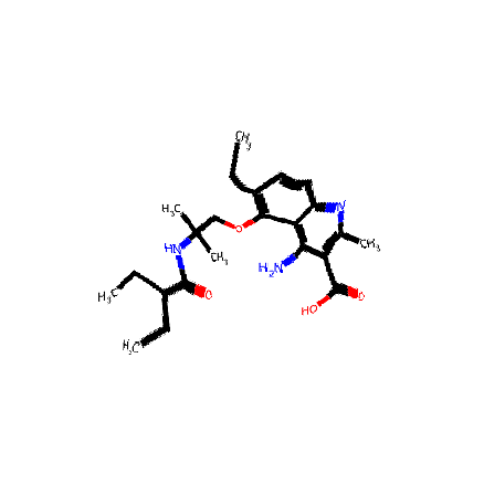 CCc1ccc2nc(C)c(C(=O)O)c(N)c2c1OCC(C)(C)NC(=O)C(CC)CC